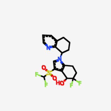 O=S(=O)(c1cn(C2CCCc3cccnc32)c2c1[C@H](O)C(F)(F)CC2)C(F)F